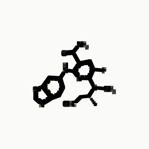 C[C@H](CC=O)N(N)c1nc(Nc2ccc3ncsc3c2)c(C(N)=O)cc1F